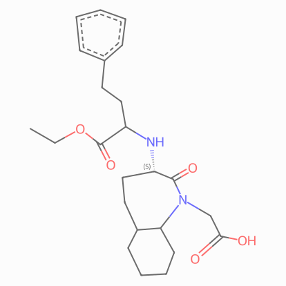 CCOC(=O)C(CCc1ccccc1)N[C@H]1CCC2CCCCC2N(CC(=O)O)C1=O